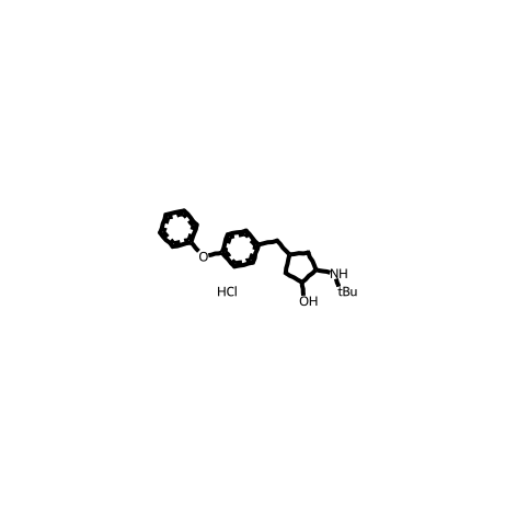 CC(C)(C)NC1CC(Cc2ccc(Oc3ccccc3)cc2)CC1O.Cl